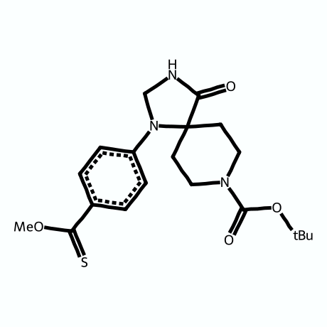 COC(=S)c1ccc(N2CNC(=O)C23CCN(C(=O)OC(C)(C)C)CC3)cc1